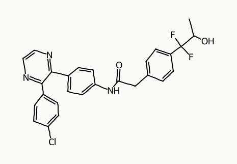 CC(O)C(F)(F)c1ccc(CC(=O)Nc2ccc(-c3nccnc3-c3ccc(Cl)cc3)cc2)cc1